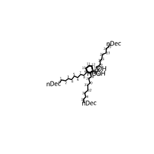 CCCCCCCCCCCCCCCCCCc1cccc(P(O)(O)(O)CCCCCCCCCCCCCCCCCC)c1CCCCCCCCCCCCCCCCCC